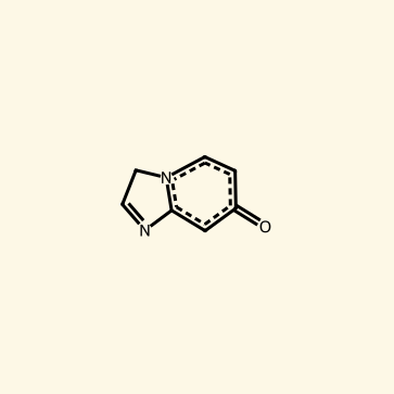 O=c1ccn2c(c1)N=CC2